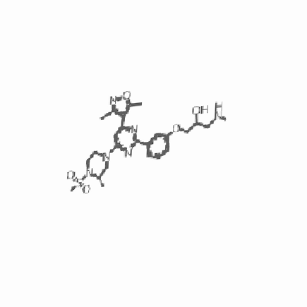 CNCC(O)COc1cccc(-c2nc(-c3c(C)noc3C)cc(N3CCN(S(C)(=O)=O)[C@H](C)C3)n2)c1